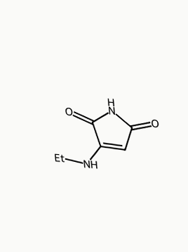 CCNC1=CC(=O)NC1=O